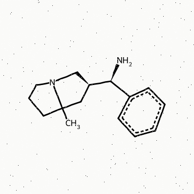 CC12CCCN1C[C@@H]([C@@H](N)c1ccccc1)C2